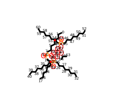 CCCCCCCCP(=O)(CCCCCCCC)O[O][Ti]([O]OP(=O)(CCCCCCCC)CCCCCCCC)([O]OP(=O)(CCCCCCCC)CCCCCCCC)[O]C(C)C